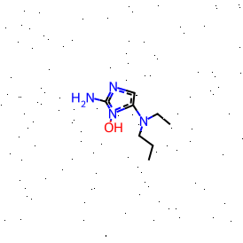 CCCN(CC)c1cnc(N)n1O